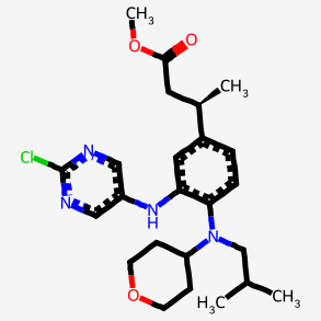 COC(=O)C[C@@H](C)c1ccc(N(CC(C)C)C2CCOCC2)c(Nc2cnc(Cl)nc2)c1